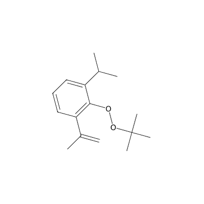 C=C(C)c1cccc(C(C)C)c1OOC(C)(C)C